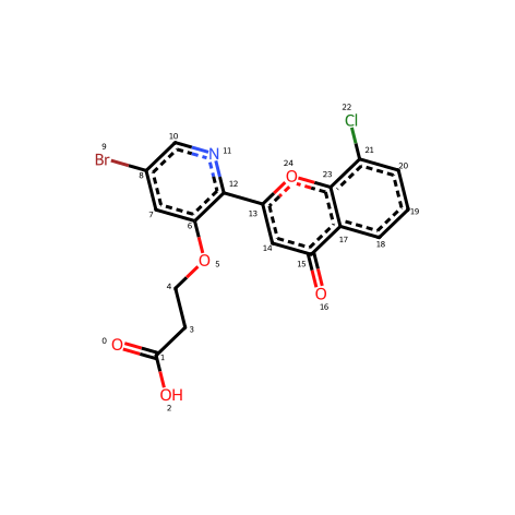 O=C(O)CCOc1cc(Br)cnc1-c1cc(=O)c2cccc(Cl)c2o1